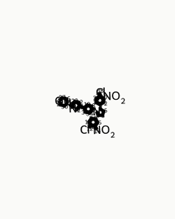 O=[N+]([O-])c1cc([C@H]2CC[C@H](c3ccc(Cl)c([N+](=O)[O-])c3)N2c2ccc(-c3ccc(N4CCOCC4)nc3)cc2)ccc1Cl